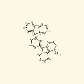 CC1CC=Cc2c1c1c(n2C2=N[C@@H](n3c4ccccc4c4ccccc43)CC=C2)CCC=C1